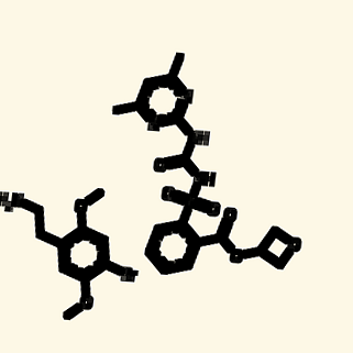 COc1cc(CCN)c(OC)cc1Br.Cc1cc(C)nc(NC(=O)NS(=O)(=O)c2ccccc2C(=O)OC2COC2)n1